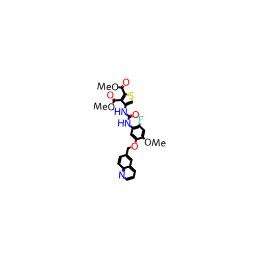 COC(=O)c1scc(NC(=O)Nc2cc(OCc3ccc4ncccc4c3)c(OC)cc2F)c1C(=O)OC